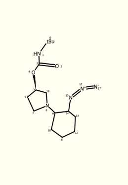 CC(C)(C)NC(=O)O[C@@H]1CCN(C2CCCCC2N=[N+]=[N-])C1